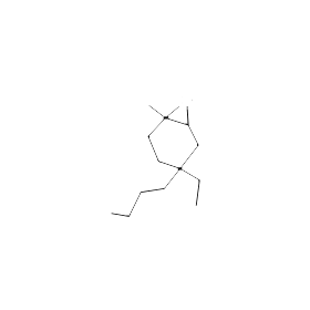 CCCCC1(CC)CCC2(C)OC2C1